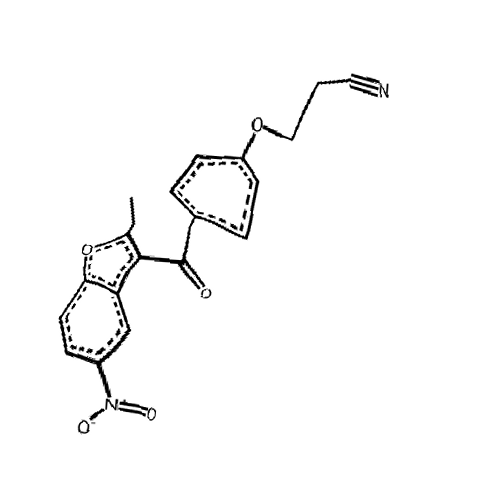 Cc1oc2ccc([N+](=O)[O-])cc2c1C(=O)c1ccc(OCCC#N)cc1